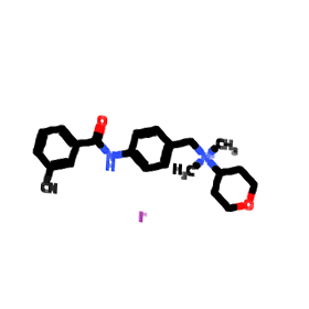 C[N+](C)(Cc1ccc(NC(=O)c2cccc(C#N)c2)cc1)C1CCOCC1.[I-]